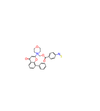 O=C(OC[N+]1(c2cc(=O)c3cccc(-c4ccccc4)c3o2)CCOCC1)c1ccc(N=S)cc1